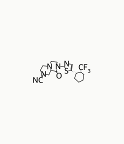 N#CN1CCN2CCN(c3ncc([C@H]4CCCC[C@H]4C(F)(F)F)s3)C(=O)C2C1